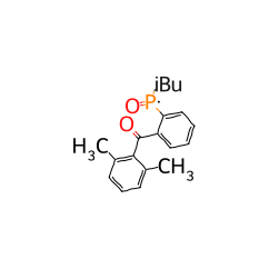 CCC(C)[P](=O)c1ccccc1C(=O)c1c(C)cccc1C